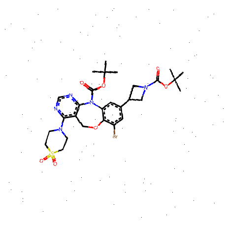 CC(C)(C)OC(=O)N1CC(c2cc(Br)c3c(c2)N(C(=O)OC(C)(C)C)c2ncnc(N4CCS(=O)(=O)CC4)c2CO3)C1